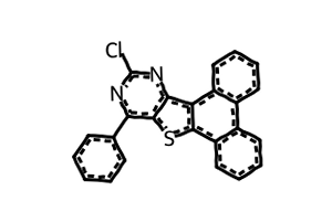 Clc1nc(-c2ccccc2)c2sc3c4ccccc4c4ccccc4c3c2n1